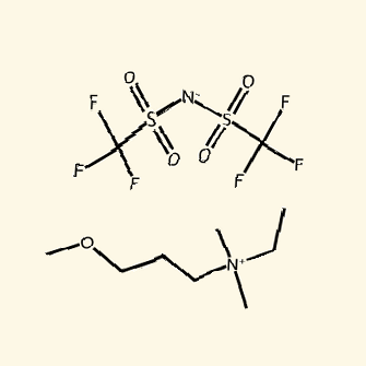 CC[N+](C)(C)CCCOC.O=S(=O)([N-]S(=O)(=O)C(F)(F)F)C(F)(F)F